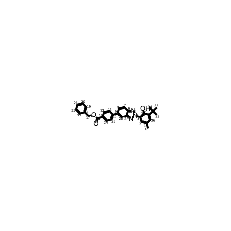 Cc1cc(-n2nc3ccc(-c4ccc(C(=O)OCc5ccccc5)cc4)cc3n2)c(O)c(C(C)(C)C)c1